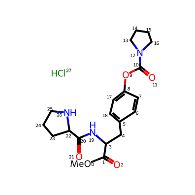 COC(=O)C(Cc1ccc(OC(=O)N2CCCC2)cc1)NC(=O)C1CCCN1.Cl